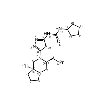 CC(C)C[C@H]1CN2CCC[C@H]2CN1c1nnc(NC(=O)NC2CCCC2)s1